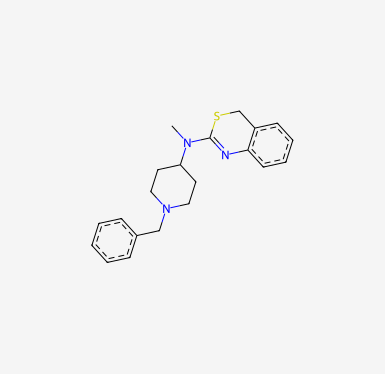 CN(C1=Nc2ccccc2CS1)C1CCN(Cc2ccccc2)CC1